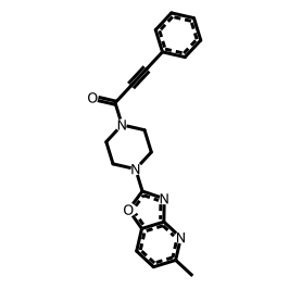 Cc1ccc2oc(N3CCN(C(=O)C#Cc4ccccc4)CC3)nc2n1